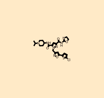 CC(C)N1CCC(NC(=O)c2cc(C(=O)NC3=NCCO3)nn2Cc2cc(-c3ccc(Cl)s3)on2)CC1